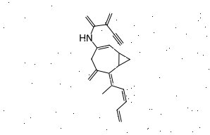 C#CC(=C)C(=C)NC1=CC2CC2/C(=C(C)\C=C/C=C)C(=C)C1